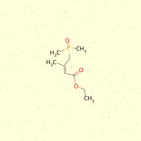 CCOC(=O)/C=C(/C)CP(C)(C)=O